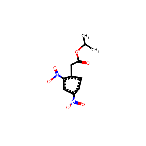 CC(C)OC(=O)Cc1ccc([N+](=O)[O-])cc1[N+](=O)[O-]